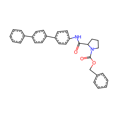 O=C(Nc1ccc(-c2ccc(-c3ccccc3)cc2)cc1)C1CCCN1C(=O)OCc1ccccc1